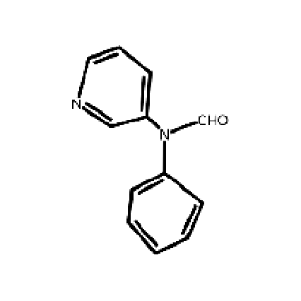 O=CN(c1ccccc1)c1cccnc1